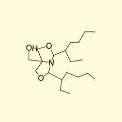 CCCCC(CC)C1OCC2(CO)COC(C(CC)CCCC)N12